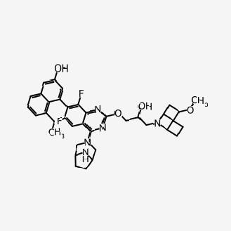 CCc1cccc2cc(O)cc(-c3c(F)cc4c(N5CC6CCC(C5)N6)nc(OCC(O)CN5C6CCC67C(OC)CC57)nc4c3F)c12